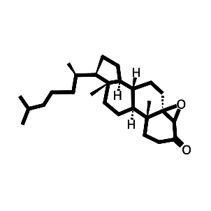 CC(C)CCC[C@@H](C)[C@H]1CC[C@H]2[C@@H]3CC[C@]45OC4C(=O)CC[C@]5(C)[C@H]3CC[C@]12C